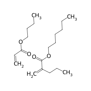 C=C(CCC)C(=O)OCCCCCC.C=CC(=O)OCCCC